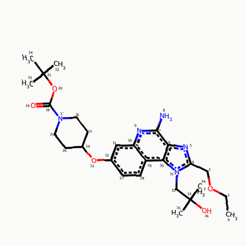 CCOCc1nc2c(N)nc3cc(OC4CCN(C(=O)OC(C)(C)C)CC4)ccc3c2n1CC(C)(C)O